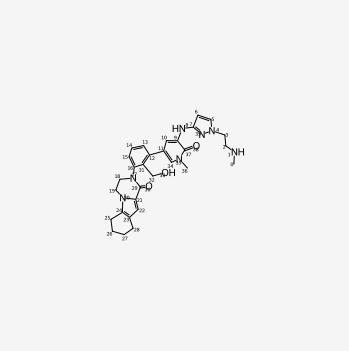 CNCCn1ccc(Nc2cc(-c3cccc(N4CCn5c(cc6c5CCCC6)C4=O)c3CO)cn(C)c2=O)n1